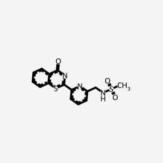 CS(=O)(=O)NCc1cccc(-c2nc(=O)c3ccccc3s2)n1